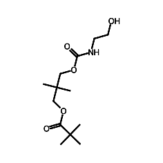 CC(C)(COC(=O)NCCO)COC(=O)C(C)(C)C